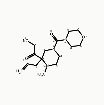 C=CCC1(C(=O)CC#N)CN(C(=O)N2CCOCC2)CCN1C(=O)O